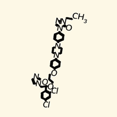 CCCn1ncn(-c2ccc(N3CCN(c4ccc(OCC5COC(Cn6ccnc6)(c6ccc(Cl)cc6Cl)O5)cc4)CC3)cc2)c1=O